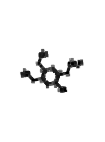 CCc1cc(CO)c(CO)cc1CC(=O)O